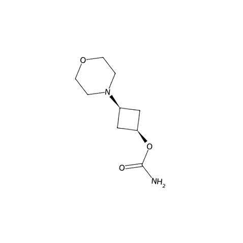 NC(=O)O[C@H]1C[C@@H](N2CCOCC2)C1